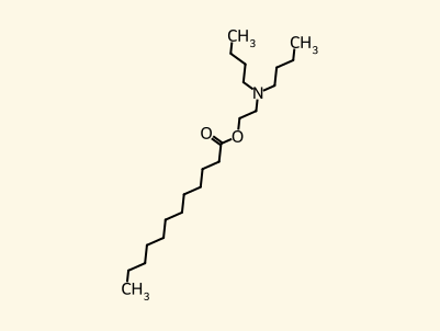 CCCCCCCCCCCC(=O)OCCN(CCCC)CCCC